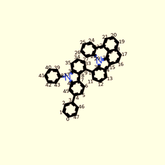 c1ccc(-c2ccc3c4c(-c5cccc6c7ccc8cccc9c%10ccccc%10n(c56)c7c89)cccc4n(-c4ccccc4)c3c2)cc1